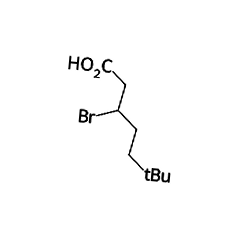 CC(C)(C)CCC(Br)CC(=O)O